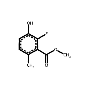 COC(=O)c1c(C)ccc(O)c1F